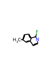 Cc1ccc2c(F)nccc2c1